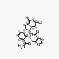 Cc1ocnc1C(=O)N(Cc1ccccc1C(N)=O)[C@@H]1CCc2c(F)cc(Cl)cc21